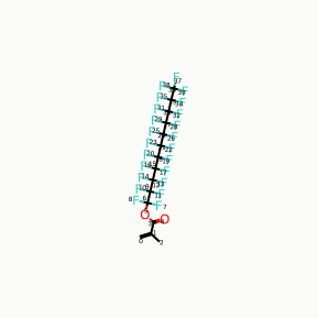 C=C(C)C(=O)OC(F)(F)C(F)(F)C(F)(F)C(F)(F)C(F)(F)C(F)(F)C(F)(F)C(F)(F)C(F)(F)C(F)(F)C(F)(F)F